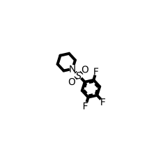 O=S(=O)(c1cc(F)c(F)cc1F)N1CCCCC1